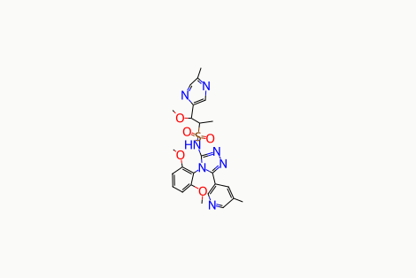 COc1cccc(OC)c1-n1c(NS(=O)(=O)C(C)C(OC)c2cnc(C)cn2)nnc1-c1cncc(C)c1